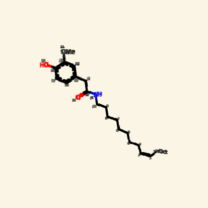 CCCCCCCC/C=C\CCCCCCCCNC(=O)Cc1ccc(O)c(OC)c1